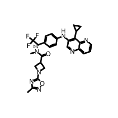 Cc1noc(N2CC(C(=O)N(C)[C@@H](c3ccc(Nc4cnc5cccnc5c4C4CC4)cc3)C(F)(F)F)C2)n1